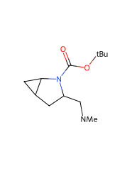 CNCC1CC2CC2N1C(=O)OC(C)(C)C